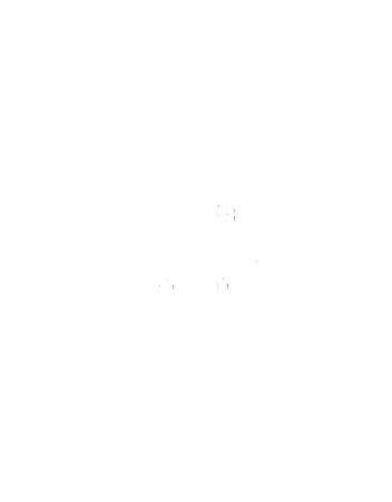 CC(=O)OOC(=O)c1ccccc1.[Ag]